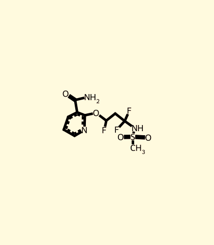 CS(=O)(=O)NC(F)(F)CC(F)Oc1ncccc1C(N)=O